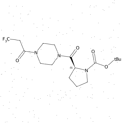 CC(C)(C)OC(=O)N1CCC[C@H]1C(=O)N1CCN(C(=O)CC(F)(F)F)CC1